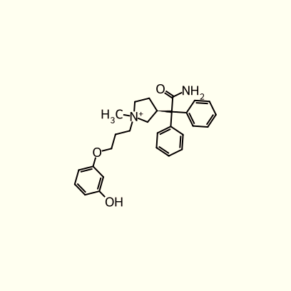 C[N+]1(CCCOc2cccc(O)c2)CC[C@@H](C(C(N)=O)(c2ccccc2)c2ccccc2)C1